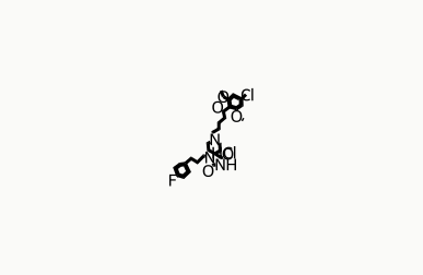 COc1cc(Cl)cc(OC)c1C(=O)CCCCN1CCC2(CC1)C(=O)NC(=O)N2CCCc1ccc(F)cc1.Cl